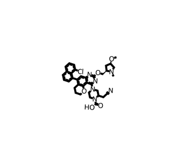 CO[C@@H]1C[C@H](COc2nc(N3CCN(C(=O)O)C(CC#N)C3)c3c4c(c(-c5cccc6cccc(Cl)c56)cc3n2)CCCO4)N(C)C1